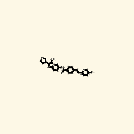 Cc1c(C2CCOC2)nc2ccc(NC(=O)c3ccc(C=Cc4ccc(F)cn4)cc3)cn12